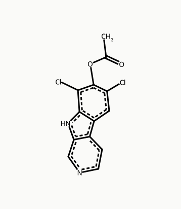 CC(=O)Oc1c(Cl)cc2c([nH]c3cnccc32)c1Cl